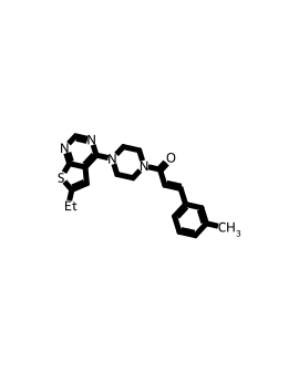 CCc1cc2c(N3CCN(C(=O)C=Cc4cccc(C)c4)CC3)ncnc2s1